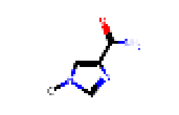 Cn1cnc(C(N)=O)c1